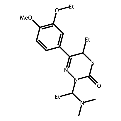 CCOc1cc(C2=NN(C(CC)N(C)C)C(=O)SC2CC)ccc1OC